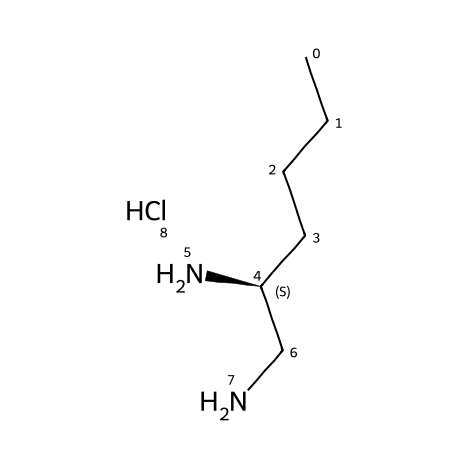 CCCC[C@H](N)CN.Cl